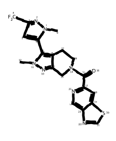 Cn1nc(C(F)(F)F)cc1-c1c2c(nn1C)CN(C(=O)c1cc3scnc3cn1)CC2